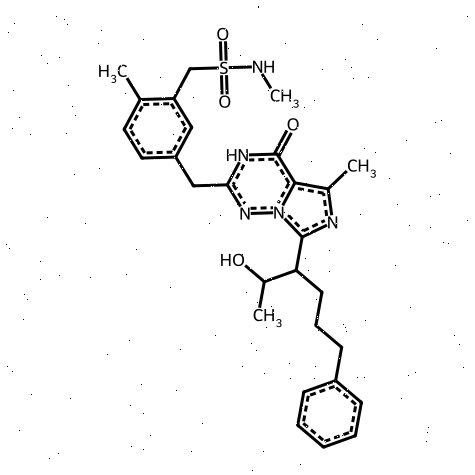 CNS(=O)(=O)Cc1cc(Cc2nn3c(C(CCCc4ccccc4)C(C)O)nc(C)c3c(=O)[nH]2)ccc1C